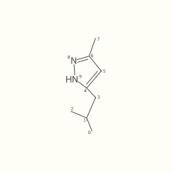 C[C](C)Cc1cc(C)n[nH]1